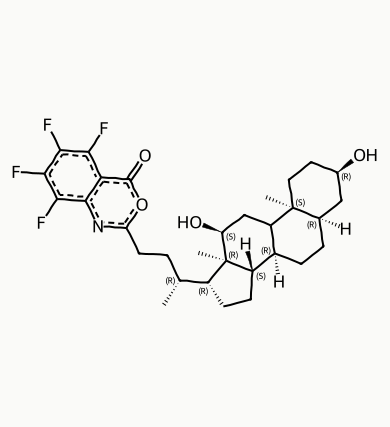 C[C@H](CCc1nc2c(F)c(F)c(F)c(F)c2c(=O)o1)[C@H]1CC[C@H]2[C@@H]3CC[C@@H]4C[C@H](O)CC[C@]4(C)C3C[C@H](O)[C@]12C